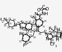 Cn1nc(NS(C)(=O)=O)c2cccc(-c3cc4sc(N5CCC(C)(N)CC5)nc4nc3C(Cc3cc(F)cc(F)c3)NCCn3nc(C(F)(F)F)c4c3C(F)(F)[C@@H]3C#C[C@H]43)c21